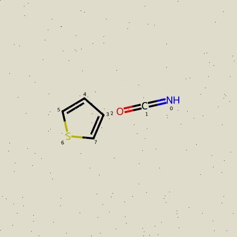 N=C=O.c1ccsc1